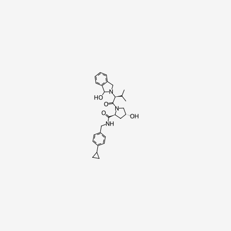 CC(C)[C@@H](C(=O)N1C[C@H](O)C[C@H]1C(=O)NCc1ccc(C2CC2)cc1)N1Cc2ccccc2C1O